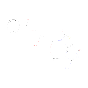 CO[C@H](COC(=O)c1ccccc1)C[C@@H](OC(C)=O)n1c(=O)sc2c(=O)[nH]c(N)nc21